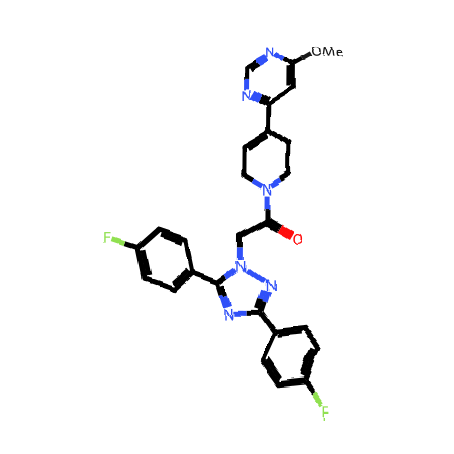 COc1cc(C2=CCN(C(=O)Cn3nc(-c4ccc(F)cc4)nc3-c3ccc(F)cc3)CC2)ncn1